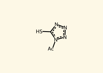 CC(=O)n1nnnc1S